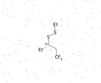 CCSS[C@@H](CC)CC(F)(F)F